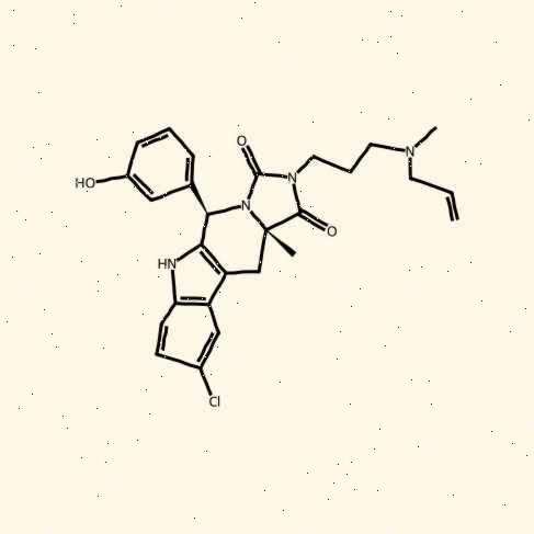 C=CCN(C)CCCN1C(=O)N2[C@H](c3cccc(O)c3)c3[nH]c4ccc(Cl)cc4c3C[C@@]2(C)C1=O